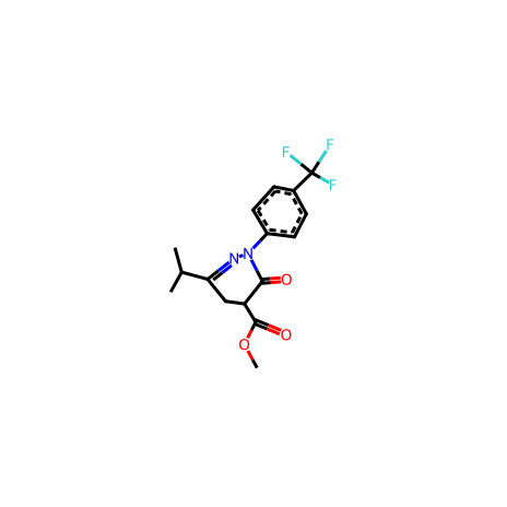 COC(=O)C1CC(C(C)C)=NN(c2ccc(C(F)(F)F)cc2)C1=O